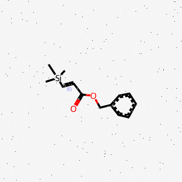 C[Si](C)(C)/C=C/C(=O)OCc1ccccc1